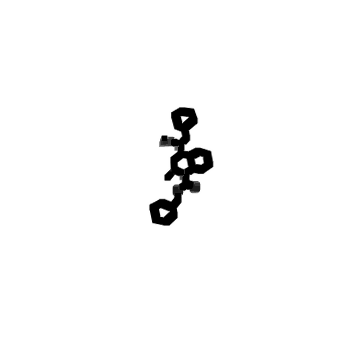 CC(=O)N(Cc1ccccc1)[C@@H]1C[C@H](C)N(C(=O)OCc2ccccc2)c2ccccc21